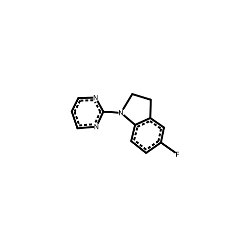 Fc1ccc2c(c1)CCN2c1ncccn1